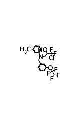 Cc1cccc(N(Cc2cccc(OC(F)(F)C(F)F)c2)C[C@@H](O)C(F)(F)Cl)c1